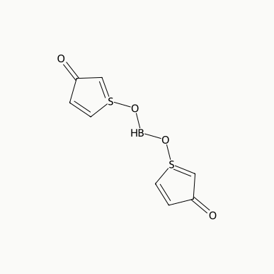 O=C1C=CS(OBOS2=CC(=O)C=C2)=C1